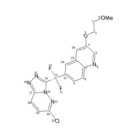 COCCOc1cnc2ccc(C(F)(F)c3nnc4ccc(Cl)nn34)cc2c1